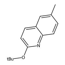 Cc1ccc2nc(OC(C)(C)C)ccc2c1